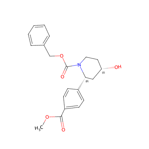 COC(=O)c1ccc([C@H]2C[C@@H](O)CCN2C(=O)OCc2ccccc2)cc1